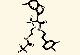 Cc1ccc2scc(C(C(=O)N/C=C/c3ccc(F)c(F)c3)P(C)(=O)OCCNC(=O)C(F)(F)F)c2c1